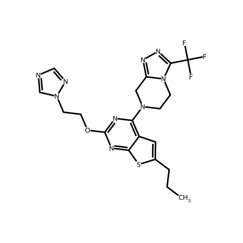 CCCc1cc2c(N3CCn4c(nnc4C(F)(F)F)C3)nc(OCCn3cncn3)nc2s1